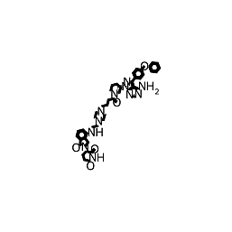 Nc1ncnc2c1c(-c1ccc(Oc3ccccc3)cc1)nn2[C@@H]1CCCN(C(=O)CCCN2CCN(CCNc3cccc4c3CN(C3CCC(=O)NC3=O)C4=O)CC2)C1